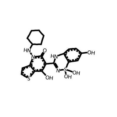 O=c1c(C2=NS(O)(O)c3cc(O)ccc3N2)c(O)c2sccc2n1NC1CCCCC1